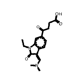 CCN1C(=O)C(=CN(C)C)c2ccc(C(=O)CCC(=O)O)cc21